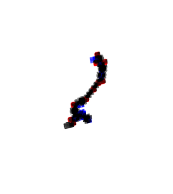 C[C@@H](NC(=O)c1cccc(NC2(c3nnc(-c4ccncc4)[nH]3)CCN(C(=O)OC(C)(C)C)CC2)c1)c1ccc(OCCCCCOCCCOCC(=O)N2CCN(c3ccc4c(c3)CN(C3CCC(=O)NC3=O)C4=O)CC2)cc1